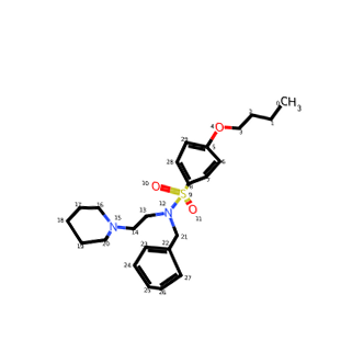 CCCCOc1ccc(S(=O)(=O)N(CCN2CCCCC2)Cc2ccccc2)cc1